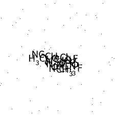 [2H]C([2H])(OC1=C(Cl)C(=C=O)N(c2cc(-n3ccc(C(C)(C)CC#N)n3)ncc2C)C(C)=C1)c1ncc(F)cc1F